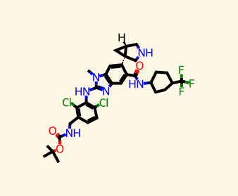 Cn1c(Nc2c(Cl)ccc(CNC(=O)OC(C)(C)C)c2Cl)nc2cc(C(=O)NC3CCC(C(F)(F)F)CC3)c([C@@]34CNC[C@H]3C4)cc21